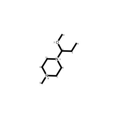 CCC(OC)N1CCN(C)CC1